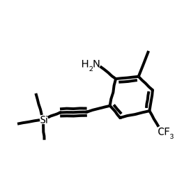 Cc1cc(C(F)(F)F)cc(C#C[Si](C)(C)C)c1N